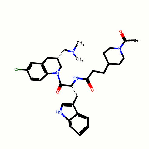 CC(C)C(=O)N1CCC(CCC(=O)N[C@H](Cc2c[nH]c3ccccc23)C(=O)N2C[C@@H](CN(C)C)Cc3cc(Cl)ccc32)CC1